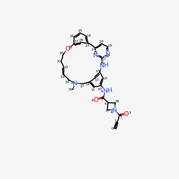 C#CC(=O)N1CC(C(=O)Nc2cc3cc(c2)Nc2nccc(n2)-c2cccc(c2)OCC/C=C/CN(C)C3)C1